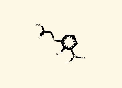 COC(=O)CSc1cccc(N(C)C)c1C#N